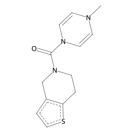 CN1C=CN(C(=O)N2CCc3sccc3C2)C=C1